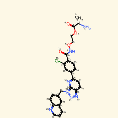 C[C@H](N)C(=O)OCCONC(=O)c1ccc(-c2ccc3nnn(Cc4ccc5ncccc5c4)c3n2)cc1Cl